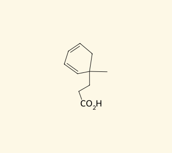 CC1(CCC(=O)O)C=CC=CC1